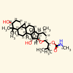 CNC(=O)O[C@H](C(C)C)[C@H]1C[C@@H](C)[C@H]2[C@H](O1)[C@H](O)[C@@]1(C)[C@@H]3CC[C@H]4C(C)(C)[C@@H](O)CC[C@@]45C[C@@]35CC[C@]21C